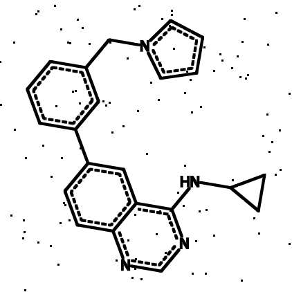 c1cc(Cn2cccc2)cc(-c2ccc3ncnc(NC4CC4)c3c2)c1